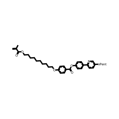 C=C(C)C(=O)OCCCCCCCCCCOc1ccc(C(=O)Oc2ccc(-c3ccc(CCCCC)cn3)cc2)cc1